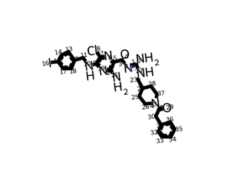 N/C(=N\C(=O)c1nc(Cl)c(NCc2ccc(I)cc2)nc1N)NCC1CCN(C(=O)Cc2ccccc2)CC1